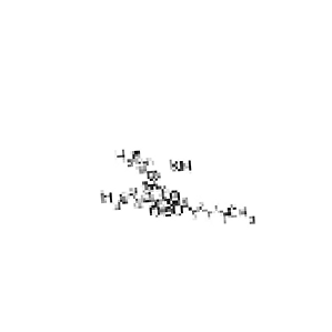 CCCCCCCOS(=O)(=O)C(CC(=O)OCCC)C(=O)OCCC.[KH]